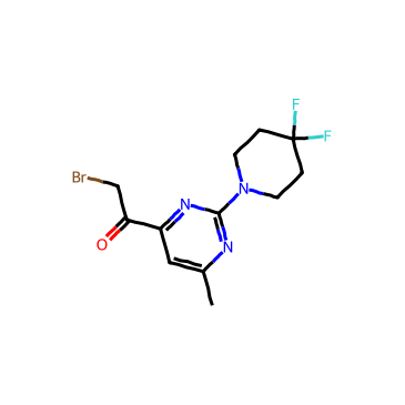 Cc1cc(C(=O)CBr)nc(N2CCC(F)(F)CC2)n1